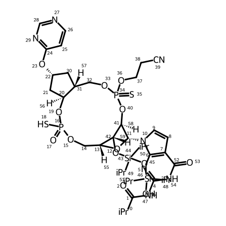 CC(C)C(=O)Nc1nc2c(ccn2[C@@H]2O[C@@H]3COP(=O)(S)O[C@H]4C[C@H](Oc5ccncn5)C[C@@H]4COP(=S)(OCCC#N)O[C@@H]2[C@@H]3O[Si](O[Si](O)(C(C)C)C(C)C)(C(C)C)C(C)C)c(=O)[nH]1